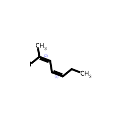 CC/C=C\C=C(\C)I